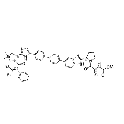 CCN(CC)[C@@H](C(=O)N1C[Si](C)(C)C[C@H]1c1ncc(-c2ccc(-c3ccc(-c4ccc5[nH]c([C@@H]6CCCN6C(=O)[C@@H](NC(=O)OC)C(C)C)nc5c4)cc3)cc2)[nH]1)c1ccccc1